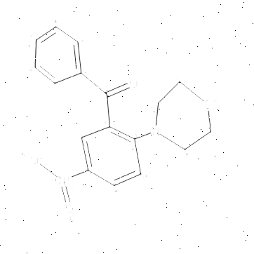 O=C(c1ccccc1)c1cc([N+](=O)[O-])ccc1N1CCSCC1